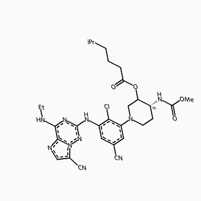 CCNc1nc(Nc2cc(C#N)cc(N3CC[C@@H](NC(=O)OC)C(OC(=O)CCCC(C)C)C3)c2Cl)nn2c(C#N)cnc12